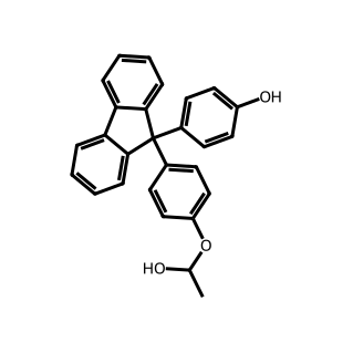 CC(O)Oc1ccc(C2(c3ccc(O)cc3)c3ccccc3-c3ccccc32)cc1